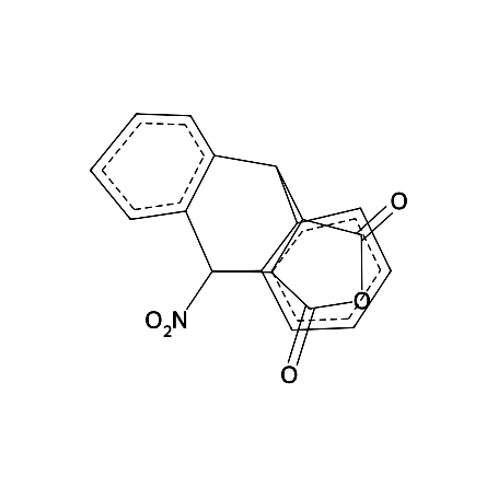 O=C1OC(=O)C2C1C1c3ccccc3C2([N+](=O)[O-])c2ccccc21